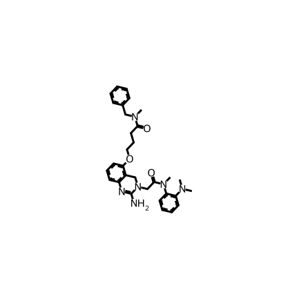 CN(Cc1ccccc1)C(=O)CCCOc1cccc2c1CN(CC(=O)N(C)c1ccccc1N(C)C)C(N)=N2